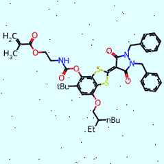 C=C(C)C(=O)OCCNC(=O)Oc1c(C(C)(C)C)cc(OCC(CC)CCCC)c2c1SC(=C1C(=O)N(Cc3ccccc3)N(Cc3ccccc3)C1=O)S2